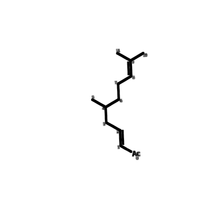 CC(=O)/C=C/CC(C)CCC=C(C)C